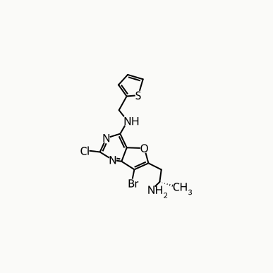 C[C@H](N)Cc1oc2c(NCc3cccs3)nc(Cl)nc2c1Br